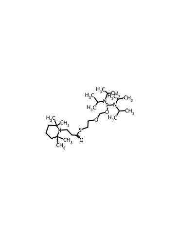 CC(C)N(C(C)C)P(OCOCCSC(=O)CCN1C(C)(C)CCCC1(C)C)N(C(C)C)C(C)C